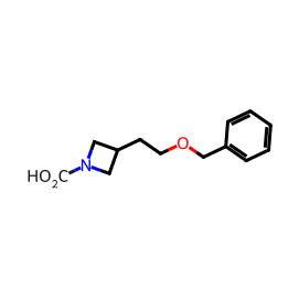 O=C(O)N1CC(CCOCc2ccccc2)C1